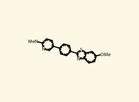 CNc1ccc(-c2ccc(-c3nc4ccc(OC)cc4s3)cc2)cn1